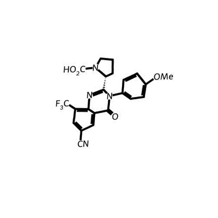 COc1ccc(-n2c([C@H]3CCCN3C(=O)O)nc3c(C(F)(F)F)cc(C#N)cc3c2=O)cc1